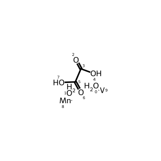 O.O.O=C(O)C(=O)O.[Mn].[V]